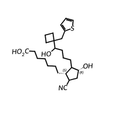 N#CC1C[C@@H](O)C(CCCC(O)C2(Cc3cccs3)CCC2)[C@H]1CCCCCCC(=O)O